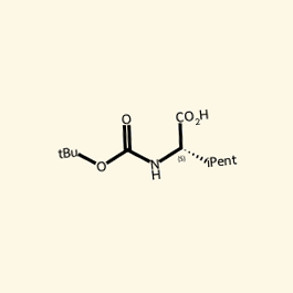 CCCC(C)[C@H](NC(=O)OC(C)(C)C)C(=O)O